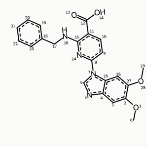 COc1cc2ncn(-c3ccc(C(=O)O)c(NCc4ccccc4)n3)c2cc1OC